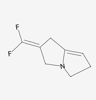 FC(F)=C1CC2=CCCN2C1